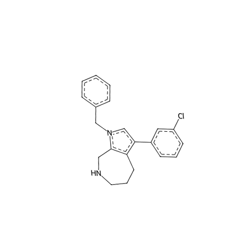 Clc1cccc(-c2cn(Cc3ccccc3)c3c2CCCNC3)c1